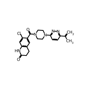 C=C(C)c1ccc(N2CCN(C(=O)c3cc4c(cc3Cl)NC(=O)CC4)CC2)nn1